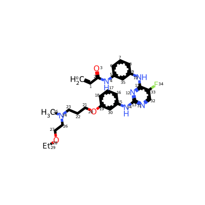 C=CC(=O)Nc1cccc(Nc2nc(Nc3cccc(OCCCN(C)CCOCC)c3)ncc2F)c1